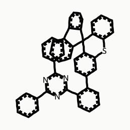 c1ccc(-c2nc(-c3ccccc3)nc(-c3ccccc3-c3ccc4c(c3)Sc3ccccc3C43c4ccccc4-c4ccccc43)n2)cc1